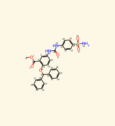 COC(=O)c1cc(NC(=O)Nc2ccc(S(N)(=O)=O)cc2)ccc1OC(c1ccccc1)c1ccccc1